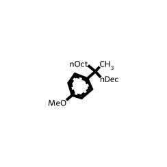 CCCCCCCCCCC(C)(CCCCCCCC)c1ccc(OC)cc1